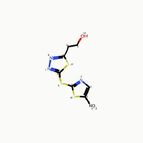 O=[N+]([O-])c1cnc(Sc2nnc(CCO)s2)s1